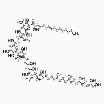 C=CCC/C=C/C=C/C=C/CC/C=C/C(O)C(O)C1OC(C(O)C(O)C(=C)CCC(O)C2CC(O)C(O)C(C(O)C(O)/C=C(\C)CCC(O)CC(O)C(O)C(C)CC(O)C(O)CCCCCC(O)CCCC(O)/C=C/CC(O)/C=C/CC(O)CO)O2)CC(O)C1O